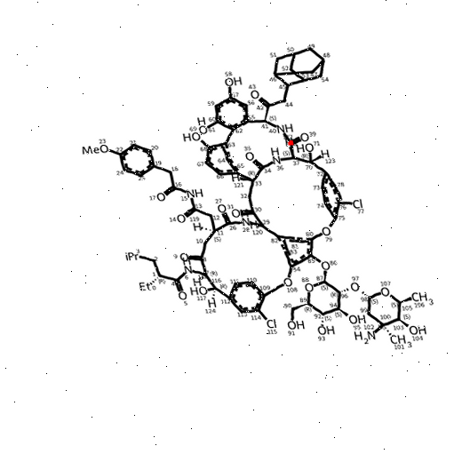 CC[C@H](CC(C)C)C(=O)N[C@H]1C(=O)C[C@@H](CC(=O)NC(=O)Cc2ccc(OC)cc2)C(=O)N[C@H]2C(=O)C[C@H]3C(=O)N[C@H](C(=O)N[C@H](C(=O)CC4C5CC6CC(C5)CC4C6)c4cc(O)cc(O)c4-c4cc3ccc4O)[C@H](O)c3ccc(c(Cl)c3)Oc3cc2cc(c3O[C@@H]2O[C@H](CO)[C@@H](O)[C@H](O)[C@H]2O[C@H]2C[C@](C)(N)[C@H](O)[C@H](C)O2)Oc2ccc(cc2Cl)[C@H]1O